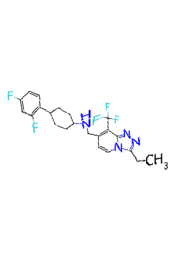 CCc1nnc2c(C(F)(F)F)c(CNC3CCC(c4ccc(F)cc4F)CC3)ccn12